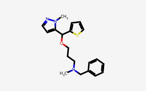 CN(CCCOC(c1cccs1)c1ccnn1C)Cc1ccccc1